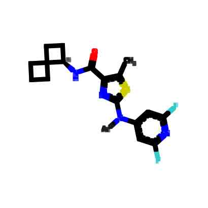 CC(=O)N(c1cc(F)nc(F)c1)c1nc(C(=O)N[C@@H]2CCC23CCC3)c(C)s1